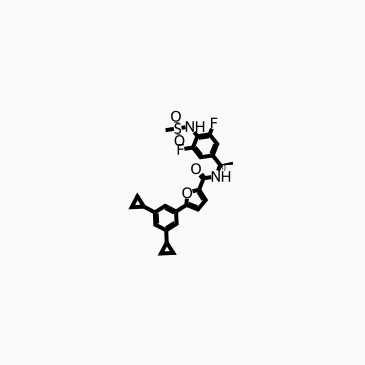 C[C@@H](NC(=O)c1ccc(-c2cc(C3CC3)cc(C3CC3)c2)o1)c1cc(F)c(NS(C)(=O)=O)c(F)c1